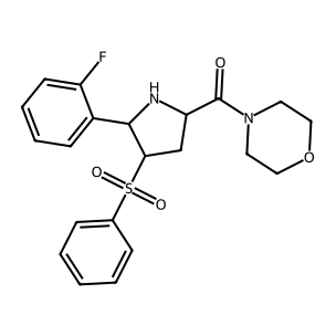 O=C(C1CC(S(=O)(=O)c2ccccc2)C(c2ccccc2F)N1)N1CCOCC1